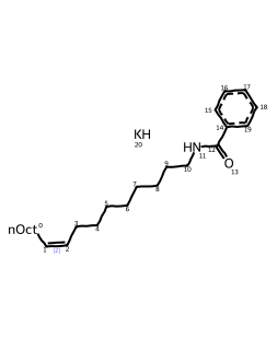 CCCCCCCC/C=C\CCCCCCCCNC(=O)c1ccccc1.[KH]